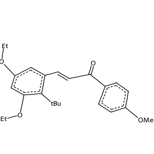 CCOc1cc(C=CC(=O)c2ccc(OC)cc2)c(C(C)(C)C)c(OCC)c1